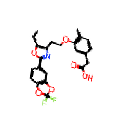 CCc1oc(-c2ccc3c(c2)OC(F)(F)O3)nc1CCOc1cc(CC(=O)O)ccc1C